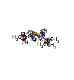 CCO[Si](CCCc1cccc(SSSSSc2cccc(CCC[Si](OCC)(OCC)OCC)c2-c2nc3ccccc3s2)c1-c1nc2ccccc2s1)(OCC)OCC